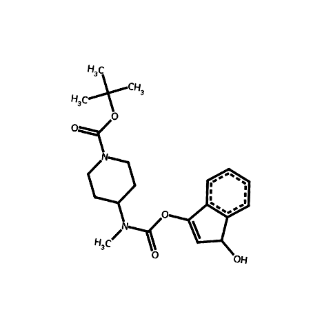 CN(C(=O)OC1=CC(O)c2ccccc21)C1CCN(C(=O)OC(C)(C)C)CC1